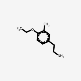 Cc1cc(CCN)ccc1OCC(F)(F)F